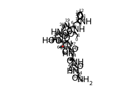 CCC(=O)N[C@H](Cc1c[nH]c2ccccc12)C(=O)N(C)[C@@H](C)C(=O)N[C@@H](CC(=O)O)C(=O)N[C@H](C(=O)N(C)[C@@H](CO)C(=O)NCC(=O)N[C@@H](CS)C(=O)NCC(N)=O)C(C)C